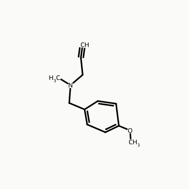 C#CCN(C)Cc1ccc(OC)cc1